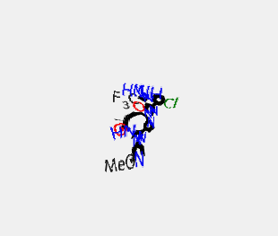 COc1cc(-n2cc3c(n2)-c2ccnc(c2)[C@@H](n2cnc(-c4cc(Cl)ccc4N4C=C(C(F)(F)F)NN4)cc2=O)CCC[C@@H](C)C(=O)N3)ccn1